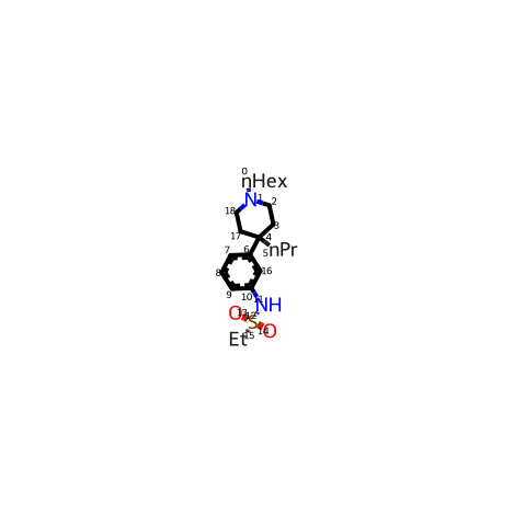 CCCCCCN1CCC(CCC)(c2cccc(NS(=O)(=O)CC)c2)CC1